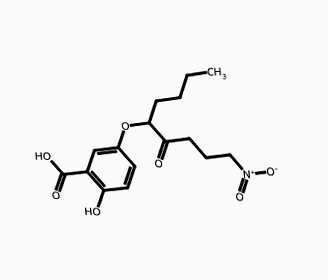 CCCCC(Oc1ccc(O)c(C(=O)O)c1)C(=O)CCC[N+](=O)[O-]